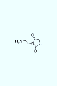 NCCN1C(=O)[CH]CC1=O